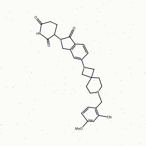 COc1ccc(CN2CCC3(CC2)CN(c2ccc4c(c2)CN(C2CCC(=O)NC2=O)C4=O)C3)c(C#N)c1